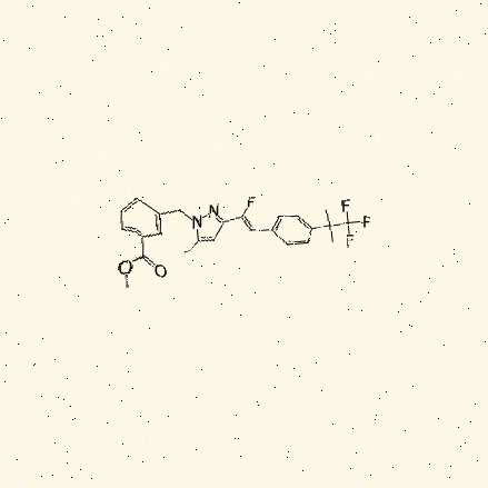 COC(=O)c1cccc(Cn2nc(C(F)=Cc3ccc(C(C)(C)C(F)(F)F)cc3)cc2C)c1